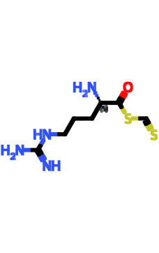 N=C(N)NCCC[C@H](N)C(=O)SC=S